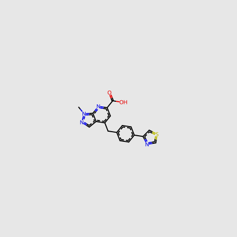 Cn1ncc2c(Cc3ccc(-c4cscn4)cc3)cc(C(=O)O)nc21